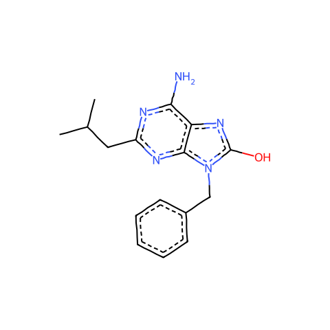 CC(C)Cc1nc(N)c2nc(O)n(Cc3ccccc3)c2n1